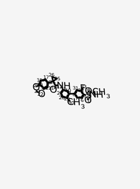 CNS(=O)(=O)c1ccc(-c2cc(NC(=O)C3(c4ccc5c(c4)OCO5)CC3)ccc2C)cc1F